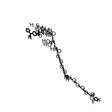 COc1cnc(-n2cnc(C(=O)NCCCN(CCCNC(=O)CCOCCOCCOCCOCc3cn(CCOCCOCCOCCOCCC(=O)Oc4c(F)cc(F)cc4F)nn3)C(CO)CO)n2)c2[nH]cc(C(=O)C(=O)N3CCC(=C(C#N)c4ccccc4)CC3)c12